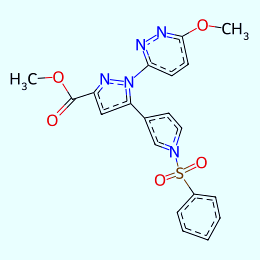 COC(=O)c1cc(-c2ccn(S(=O)(=O)c3ccccc3)c2)n(-c2ccc(OC)nn2)n1